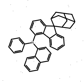 c1ccc(N(c2cccc3c2-c2ccccc2C32C3CC4CC(C3)CC2C4)c2cccc3ccccc23)cc1